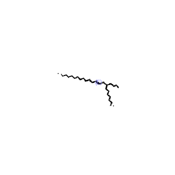 [CH2]CCCCCCCCCCC/C=C/CC(CCCC)CCCCCC[CH2]